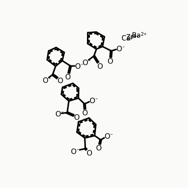 O=C([O-])c1ccccc1C(=O)[O-].O=C([O-])c1ccccc1C(=O)[O-].O=C([O-])c1ccccc1C(=O)[O-].O=C([O-])c1ccccc1C(=O)[O-].[Ba+2].[Ca+2].[Zr+4]